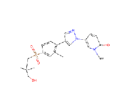 CCCn1cc(-n2cc(-c3ccc(S(=O)(=O)CC(C)(C)CO)cc3C)cn2)ccc1=O